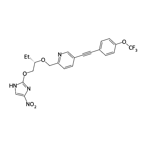 CC[C@@H](COc1nc([N+](=O)[O-])c[nH]1)OCc1ccc(C#Cc2ccc(OC(F)(F)F)cc2)cn1